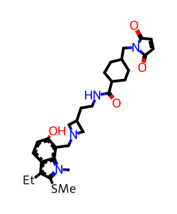 CCc1c(SC)n(C)c2c(CN3CC(CCNC(=O)C4CCC(CN5C(=O)C=CC5=O)CC4)C3)c(O)ccc12